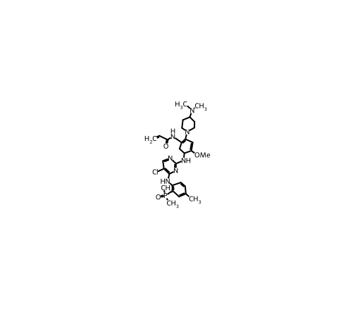 C=CC(=O)NC1=C(N2CCC(N(C)C)CC2)C=C(OC)C(Nc2ncc(Cl)c(Nc3ccc(C)cc3P(C)(C)=O)n2)C1